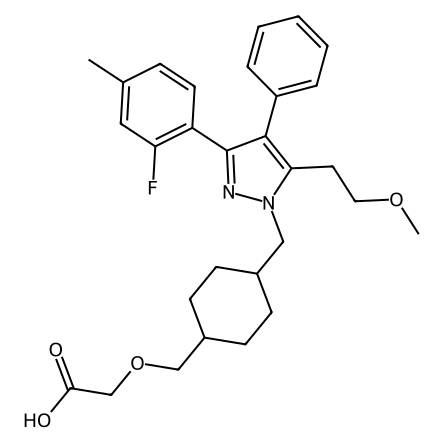 COCCc1c(-c2ccccc2)c(-c2ccc(C)cc2F)nn1CC1CCC(COCC(=O)O)CC1